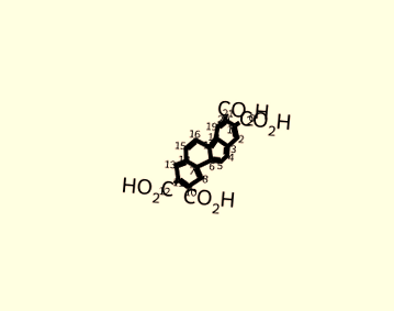 O=C(O)c1cc2ccc3c4cc(C(=O)O)c(C(=O)O)cc4ccc3c2cc1C(=O)O